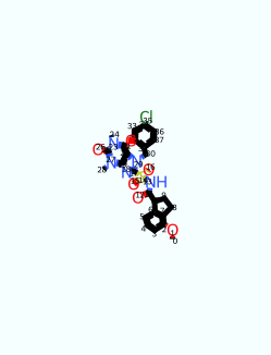 COc1cccc2c1CCC2C(=O)NS(=O)(=O)c1nc2c(c(=O)n(C)c(=O)n2C)n1Cc1ccc(Cl)cc1